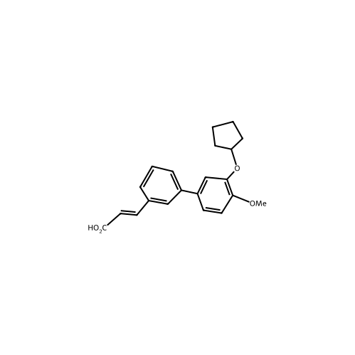 COc1ccc(-c2cccc(C=CC(=O)O)c2)cc1OC1CCCC1